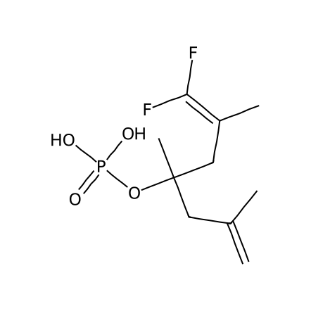 C=C(C)CC(C)(CC(C)=C(F)F)OP(=O)(O)O